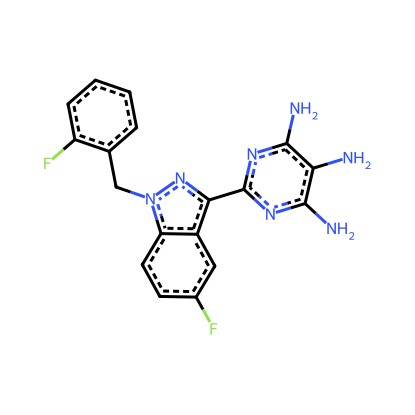 Nc1nc(-c2nn(Cc3ccccc3F)c3ccc(F)cc23)nc(N)c1N